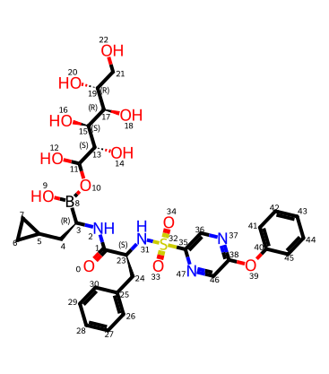 O=C(N[C@@H](CC1CC1)B(O)OC(O)[C@@H](O)[C@@H](O)[C@H](O)[C@H](O)CO)[C@H](Cc1ccccc1)NS(=O)(=O)c1cnc(Oc2ccccc2)cn1